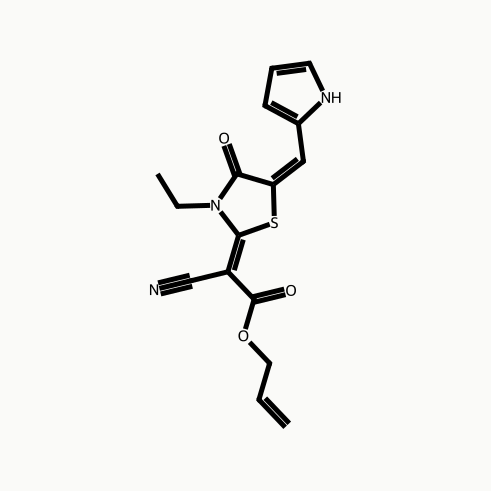 C=CCOC(=O)/C(C#N)=c1\s/c(=C/c2ccc[nH]2)c(=O)n1CC